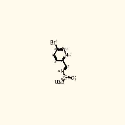 CC(C)(C)[S+]([O-])/N=C/c1ccc(Br)nn1